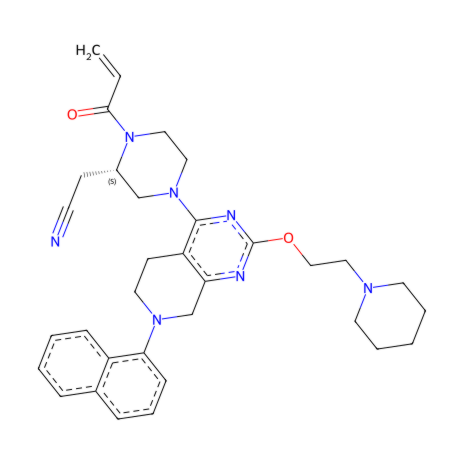 C=CC(=O)N1CCN(c2nc(OCCN3CCCCC3)nc3c2CCN(c2cccc4ccccc24)C3)C[C@@H]1CC#N